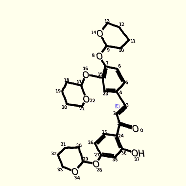 O=C(/C=C/c1ccc(OC2CCCCO2)c(OC2CCCCO2)c1)c1ccc(OC2CCCCO2)cc1O